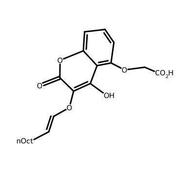 CCCCCCCCC=COc1c(O)c2c(OCC(=O)O)cccc2oc1=O